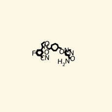 N#Cc1cc(F)cc(C2CCON2C(=O)C2CCCC(COc3cc(C(N)=O)ncn3)CC2)c1